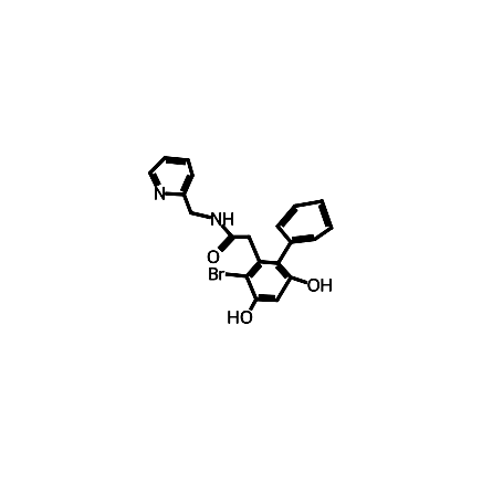 O=C(Cc1c(Br)c(O)cc(O)c1-c1ccccc1)NCc1ccccn1